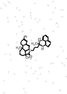 CC(C)C1=CC2=CCC3C(C)(C(=O)OCCCC4(C)Nc5cccc6cccc(c56)N4)CCCC3(C)C2CC1